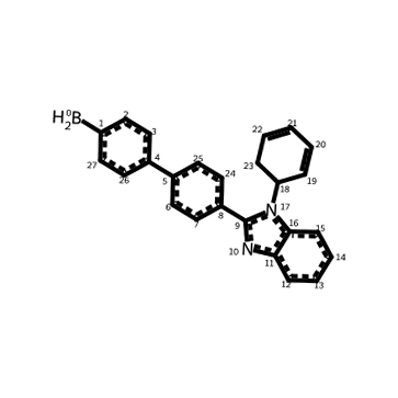 Bc1ccc(-c2ccc(-c3nc4ccccc4n3C3C=CC=CC3)cc2)cc1